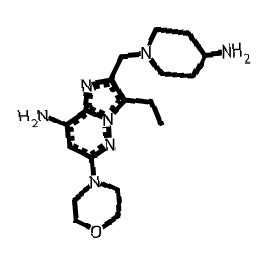 CCc1c(CN2CCC(N)CC2)nc2c(N)cc(N3CCOCC3)nn12